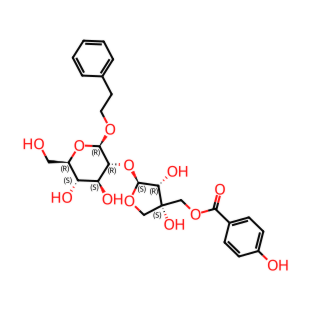 O=C(OC[C@@]1(O)CO[C@@H](O[C@H]2[C@H](OCCc3ccccc3)O[C@H](CO)[C@@H](O)[C@@H]2O)[C@@H]1O)c1ccc(O)cc1